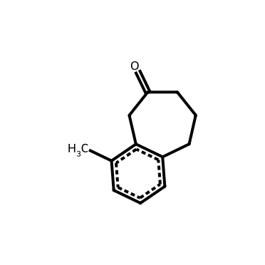 Cc1cccc2c1CC(=O)CCC2